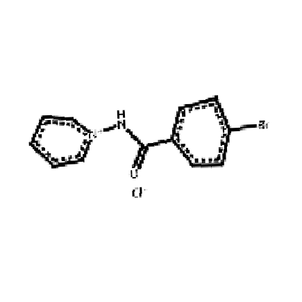 O=C(N[n+]1ccccc1)c1ccc(Br)cc1.[Cl-]